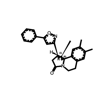 Cc1cc2c(cc1C)[C@@]13C[C@H](C)[C@@H](c4cc(-c5ccccc5)on4)[C@@H]1CC(=O)N3CC2